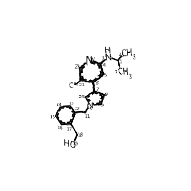 CC(C)Nc1cc(-c2ccn(Cc3ccccc3CO)c2)c(Cl)cn1